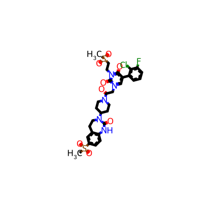 CS(=O)(=O)CCn1c(=O)c(-c2cccc(F)c2Cl)cn(CC(=O)N2CCC(N3CCc4cc(S(C)(=O)=O)ccc4NC3=O)CC2)c1=O